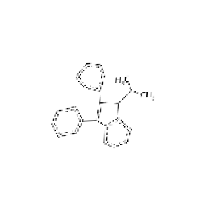 CC(C)C1C(c2ccccc2)=C(c2ccccc2)c2ccccc21